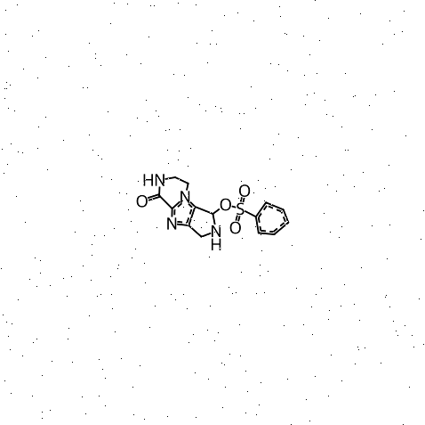 O=C1NCCn2c1nc1c2C(OS(=O)(=O)c2ccccc2)NC1